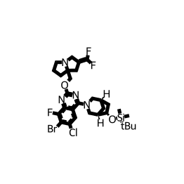 CC(C)(C)[Si](C)(C)O[C@@H]1C[C@H]2C[C@@H]1CN(c1nc(OCC34CCCN3CC(=C(F)F)C4)nc3c(F)c(Br)c(Cl)cc13)C2